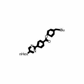 CCCCCCc1cnc(-c2ccc(C(=O)Oc3ccc(CC(C)CC)cc3)cc2)nc1